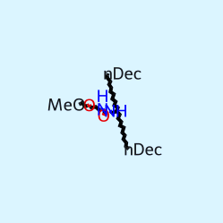 CCCCCCCCCCCCCCCCCCCCC(CCCCCCCCCCCCCCCCCCCC)CNC(=O)NCCCOCCOC